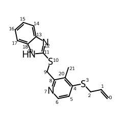 C=CCSc1ccnc(CSc2nc3ccccc3[nH]2)c1C